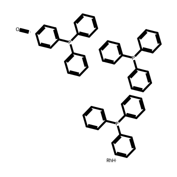 [C]=O.[RhH].c1ccc(P(c2ccccc2)c2ccccc2)cc1.c1ccc(P(c2ccccc2)c2ccccc2)cc1.c1ccc(P(c2ccccc2)c2ccccc2)cc1